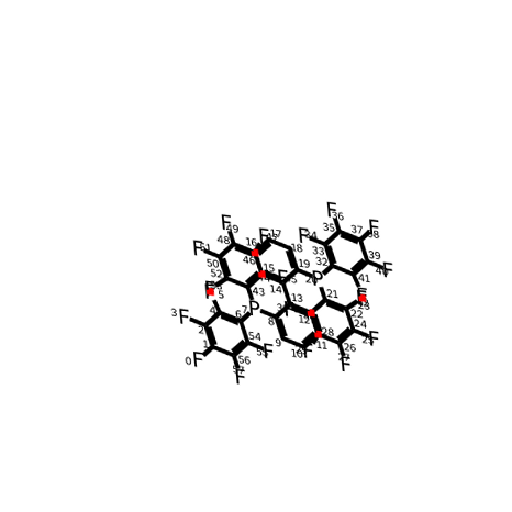 Fc1c(F)c(F)c(P(c2ccccc2-c2ccccc2P(c2c(F)c(F)c(F)c(F)c2F)c2c(F)c(F)c(F)c(F)c2F)c2c(F)c(F)c(F)c(F)c2F)c(F)c1F